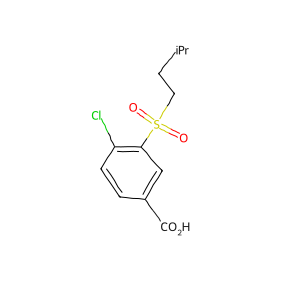 CC(C)CCS(=O)(=O)c1cc(C(=O)O)ccc1Cl